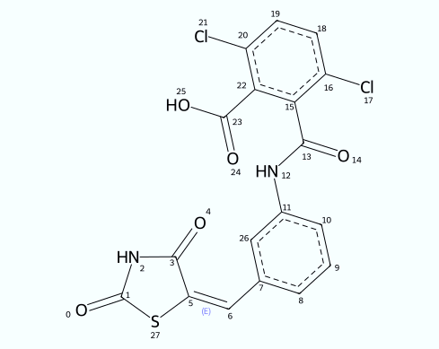 O=C1NC(=O)/C(=C\c2cccc(NC(=O)c3c(Cl)ccc(Cl)c3C(=O)O)c2)S1